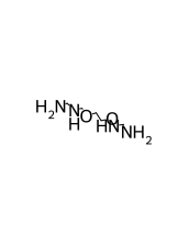 NCNCOCCONCN